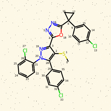 CSc1c(-c2nnc(C3(c4ccc(Cl)cc4)CC3)o2)nn(-c2ccccc2Cl)c1-c1ccc(Cl)cc1